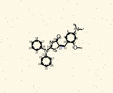 COc1cc(N(C)C)ccc1/C=C1/SC(N(c2ccccc2)c2ccccc2)=NC1=O